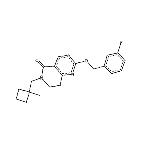 CC1(CN2CCc3nc(OCc4cccc(F)c4)ccc3C2=O)CCC1